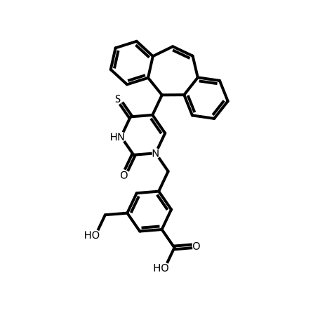 O=C(O)c1cc(CO)cc(Cn2cc(C3c4ccccc4C=Cc4ccccc43)c(=S)[nH]c2=O)c1